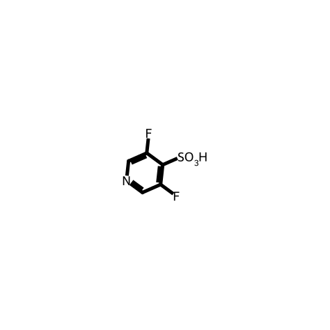 O=S(=O)(O)c1c(F)cncc1F